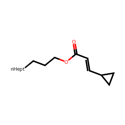 CCCCCCCCCCOC(=O)C=CC1CC1